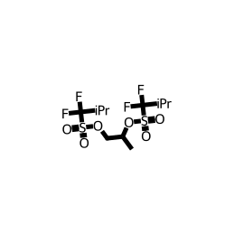 CC(COS(=O)(=O)C(F)(F)C(C)C)OS(=O)(=O)C(F)(F)C(C)C